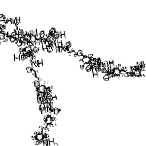 Cc1cc(OCCCC(=O)NCCNC(=O)[C@H](CS(=O)(=O)O)NC(=O)CC[C@H](NC(=O)C[N+]2(CC(=O)O)CCNCCN(CC(=O)O)CCN(CC(=O)O)CC2)C(=O)N[C@@H](CS(=O)(=O)O)C(=O)NCCNC(=O)CCCOc2cc(C)c(S(=O)(=O)N[C@@H](CNC(=O)c3ccc(CCc4cccc(N)n4)cc3)C(=O)O)c(C)c2)cc(C)c1S(=O)(=O)N[C@@H](CNC(=O)c1ccc(CCc2cccc(N)n2)cc1)C(=O)O